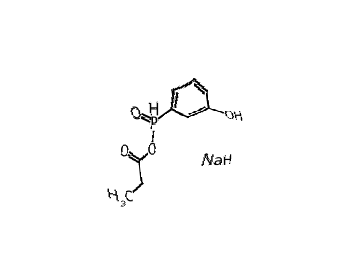 CCC(=O)O[PH](=O)c1cccc(O)c1.[NaH]